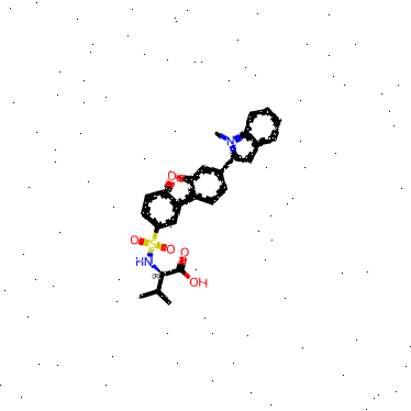 CC(C)[C@@H](NS(=O)(=O)c1ccc2oc3cc(-c4cc5ccccc5n4C)ccc3c2c1)C(=O)O